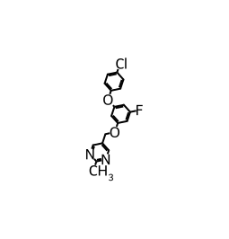 Cc1ncc(COc2cc(F)cc(Oc3ccc(Cl)cc3)c2)cn1